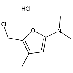 Cc1cc(N(C)C)oc1CCl.Cl